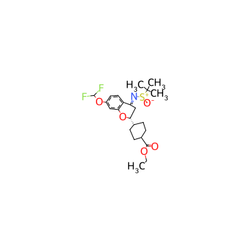 CCOC(=O)C1CCC([C@H]2C/C(=N\[S@+]([O-])C(C)(C)C)c3ccc(OC(F)F)cc3O2)CC1